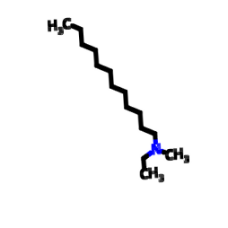 CCCCCCCCCCCCN(C)CC